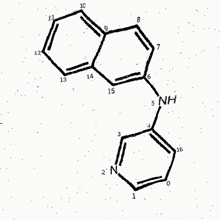 c1cncc(Nc2ccc3ccccc3c2)c1